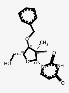 C[C@@]1(F)[C@H](OCc2ccccc2)[C@@H](CO)O[C@H]1n1ccc(=O)[nH]c1=O